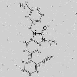 Cn1c(=O)n(Cc2cccc(N)c2)c2ccc(-c3ccccc3C#N)cc21